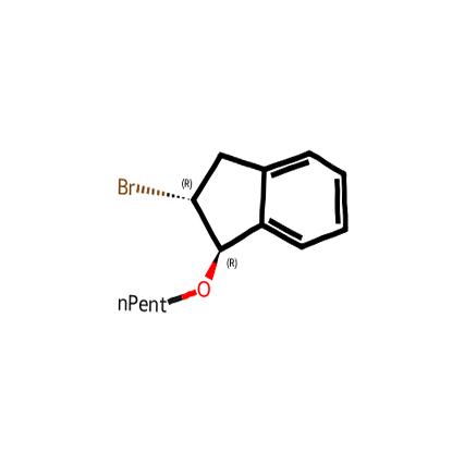 CCCCCO[C@@H]1c2ccccc2C[C@H]1Br